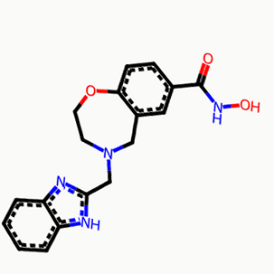 O=C(NO)c1ccc2c(c1)CN(Cc1nc3ccccc3[nH]1)CCO2